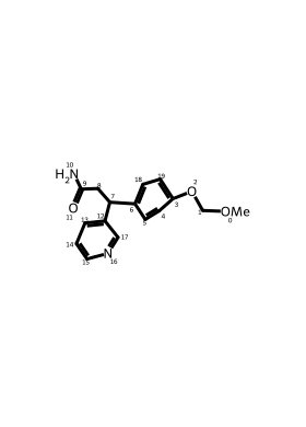 COCOc1ccc(C(CC(N)=O)c2cccnc2)cc1